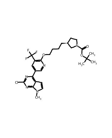 Cn1ccc2c(-c3cnc(OCCCC[C@H]4CCN(C(=O)OC(C)(C)C)C4)c(C(F)(F)F)c3)nc(Cl)nc21